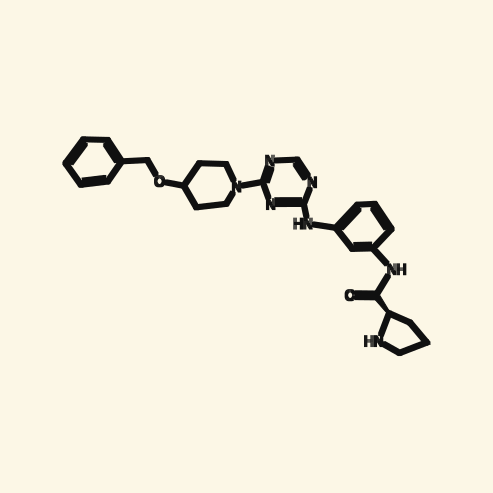 O=C(Nc1cccc(Nc2ncnc(N3CCC(OCc4ccccc4)CC3)n2)c1)[C@H]1CCCN1